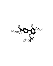 CCCCCCCCCOC(=O)c1ccc(-c2c(OC(=O)CCCCCCCCC)ccc(C(=O)O)c2F)cc1